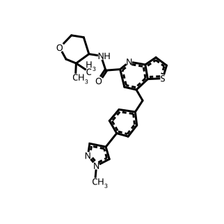 Cn1cc(-c2ccc(Cc3cc(C(=O)NC4CCOCC4(C)C)nc4ccsc34)cc2)cn1